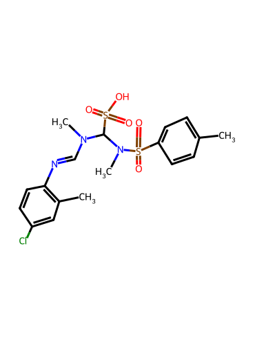 Cc1ccc(S(=O)(=O)N(C)C(N(C)C=Nc2ccc(Cl)cc2C)S(=O)(=O)O)cc1